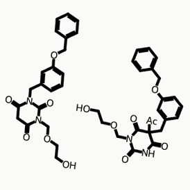 CC(=O)C1(Cc2cccc(OCc3ccccc3)c2)C(=O)NC(=O)N(COCCO)C1=O.O=C1CC(=O)N(Cc2cccc(OCc3ccccc3)c2)C(=O)N1COCCO